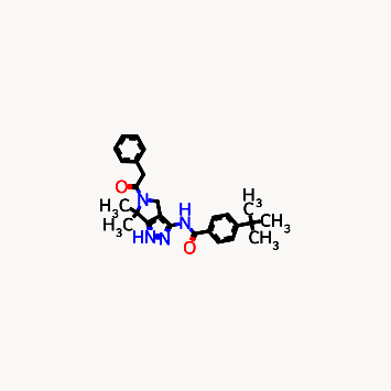 CC(C)(C)c1ccc(C(=O)Nc2n[nH]c3c2CN(C(=O)Cc2ccccc2)C3(C)C)cc1